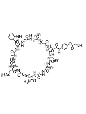 CC(=O)NCC(=O)N[C@H]1CNC(=O)CSC[C@@H](C(N)=O)NC(=O)CNC(=O)[C@H](C(C)C)NC(=O)[C@H](CC(C)C)NC(=O)[C@H](CCC(=O)Nc2ccc(OC(=O)CN)cc2)NC(=O)CNC(=O)[C@H](CC(C)C)NC(=O)CNC(=O)[C@H](Cc2c[nH]c3ccccc23)NC(=O)[C@H](C)NC1=O